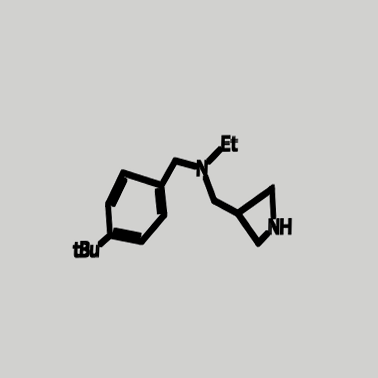 CCN(Cc1ccc(C(C)(C)C)cc1)CC1CNC1